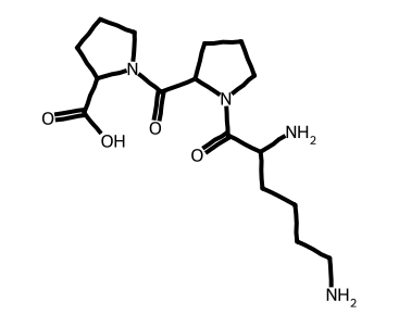 NCCCCC(N)C(=O)N1CCCC1C(=O)N1CCCC1C(=O)O